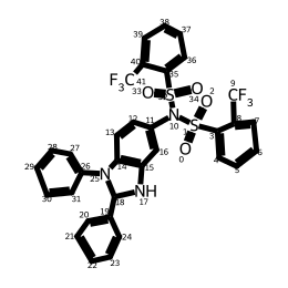 O=S(=O)(c1ccccc1C(F)(F)F)N(c1ccc2c(c1)NC(c1ccccc1)N2c1ccccc1)S(=O)(=O)c1ccccc1C(F)(F)F